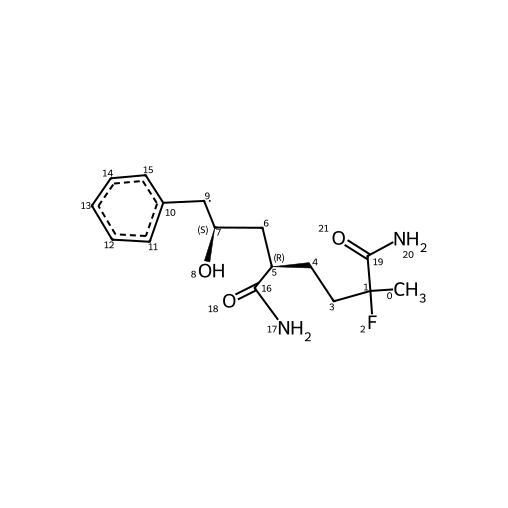 CC(F)(CC[C@H](C[C@@H](O)[CH]c1ccccc1)C(N)=O)C(N)=O